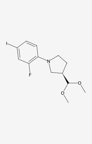 COC(OC)[C@@H]1CCN(c2ccc(I)cc2F)C1